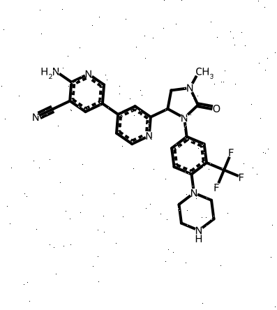 CN1CC(c2cc(-c3cnc(N)c(C#N)c3)ccn2)N(c2ccc(N3CCNCC3)c(C(F)(F)F)c2)C1=O